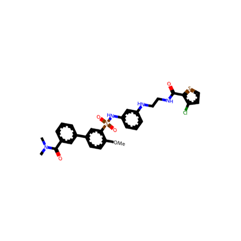 COc1ccc(-c2cccc(C(=O)N(C)C)c2)cc1S(=O)(=O)Nc1cccc(NCCNC(=O)c2sccc2Cl)c1